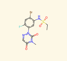 CCS(=O)(=O)Nc1cc(-n2ncc(=O)n(C)c2=O)c(F)cc1Br